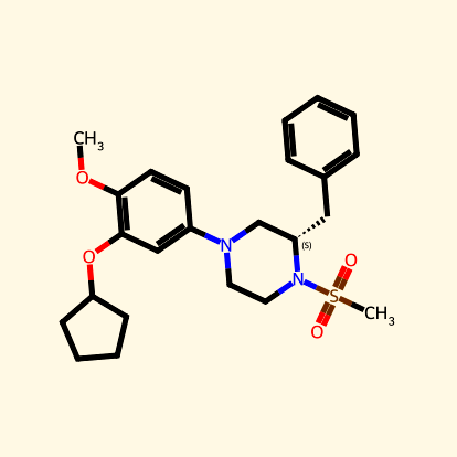 COc1ccc(N2CCN(S(C)(=O)=O)[C@@H](Cc3ccccc3)C2)cc1OC1CCCC1